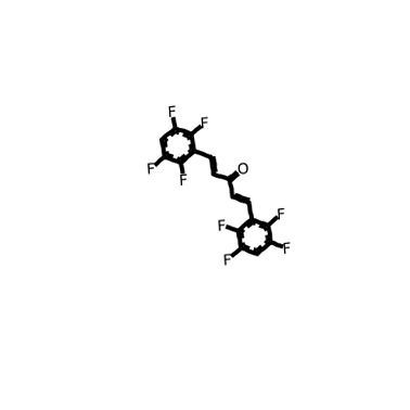 O=C(C=Cc1c(F)c(F)cc(F)c1F)C=Cc1c(F)c(F)cc(F)c1F